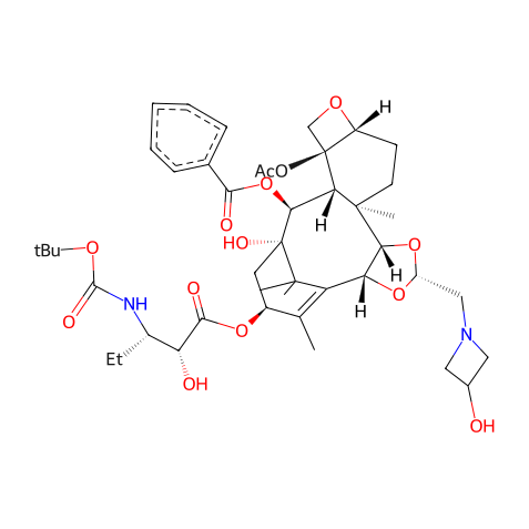 CC[C@H](NC(=O)OC(C)(C)C)[C@@H](O)C(=O)O[C@H]1C[C@@]2(O)[C@@H](OC(=O)c3ccccc3)[C@H]3[C@@](C)(CC[C@H]4OC[C@]43OC(C)=O)[C@@H]3O[C@H](CN4CC(O)C4)O[C@@H]3C(=C1C)C2(C)C